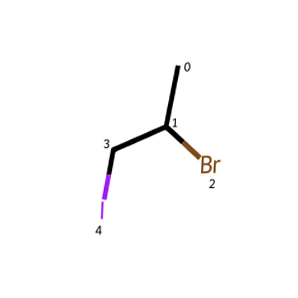 CC(Br)CI